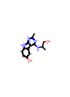 Cc1nc(NC(C)CO)c2c(n1)[nH]c1ccc(O)cc12